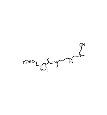 CCCCCCCCCCCCC(CCCCCCCCCC)CNC(=O)CCNCCCNCCN(C)CCO